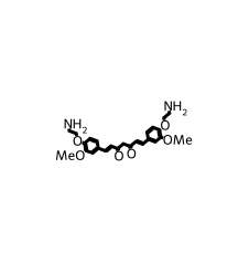 COc1cc(/C=C/C(=O)CC(=O)/C=C/c2ccc(OCCN)c(OC)c2)ccc1OCCN